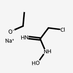 CC[O-].N=C(CCl)NO.[Na+]